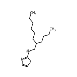 CCCCCCC(CCCC)CNc1nccs1